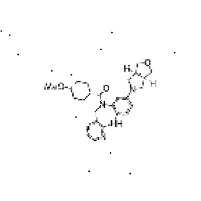 CO[C@H]1CC[C@H](C(=O)N2Cc3cccnc3Nc3ccc(N4C[C@H]5COC[C@H]5C4)cc32)CC1